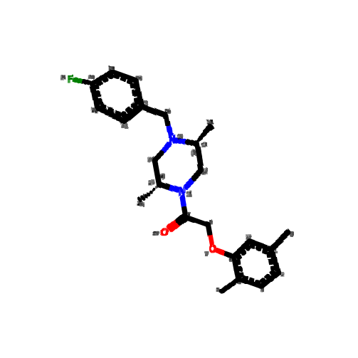 Cc1ccc(C)c(OCC(=O)N2C[C@H](C)N(Cc3ccc(F)cc3)C[C@H]2C)c1